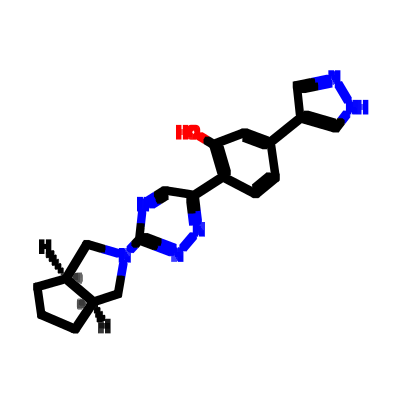 Oc1cc(-c2cn[nH]c2)ccc1-c1cnc(N2C[C@H]3CCC[C@H]3C2)nn1